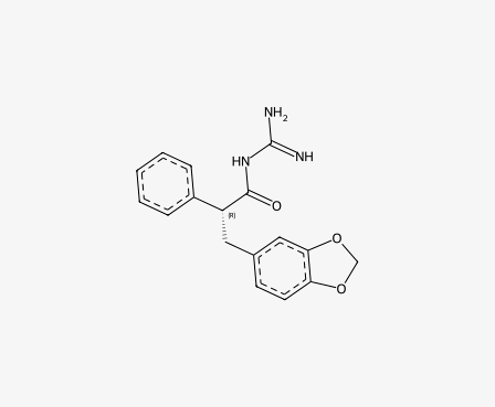 N=C(N)NC(=O)[C@H](Cc1ccc2c(c1)OCO2)c1ccccc1